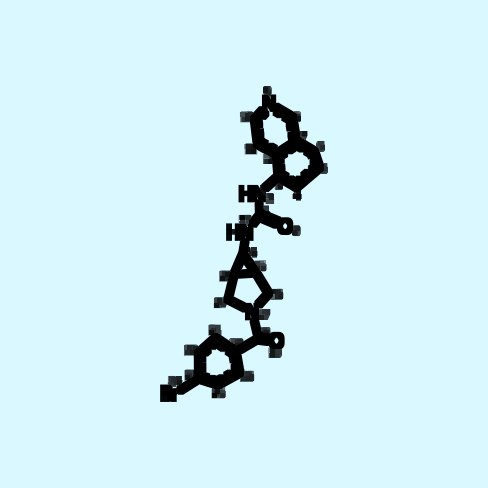 O=C(Nc1cccc2cnccc12)NC1C2CN(C(=O)c3ccc(Br)cc3)CC21